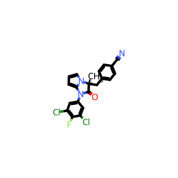 C[C@@]1(Cc2ccc(C#N)cc2)C(=O)N(c2cc(Cl)c(F)c(Cl)c2)c2cccn21